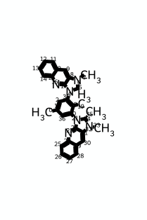 Cc1cc(N2CN(C)c3cc4ccccc4nc32)c(C)c(N2c3nc4ccccc4cc3N(C)[C@@H]2C)c1